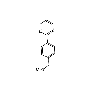 COCc1ccc(-c2ncccn2)cc1